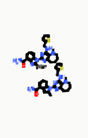 COc1nc2c(C(N)=O)cccc2n1-c1nc2c(c(NCc3cccs3)n1)N(C)CCCC2.Cc1cc2c(C(N)=O)cccc2n1-c1nc2c(c(NCc3cccs3)n1)N(C)CCCC2